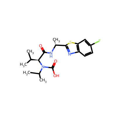 CC(C)[C@@H](C(=O)N[C@H](C)c1nc2ccc(F)cc2s1)N(C(=O)O)C(C)C